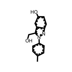 Cc1ccc(-n2nc3ccc(O)cc3c2CO)cc1